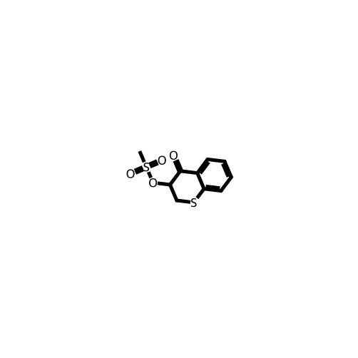 CS(=O)(=O)OC1CSc2ccccc2C1=O